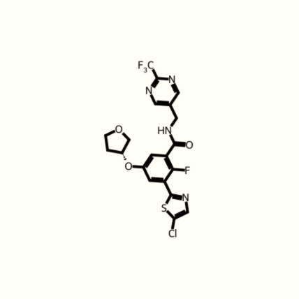 O=C(NCc1cnc(C(F)(F)F)nc1)c1cc(O[C@@H]2CCOC2)cc(-c2ncc(Cl)s2)c1F